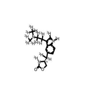 [2H]c1c(C([2H])([2H])C([2H])([2H])N(C([2H])([2H])[2H])C([2H])([2H])[2H])c2cc(C([2H])([2H])[C@H]3COC(=O)N3[2H])ccc2n1[2H]